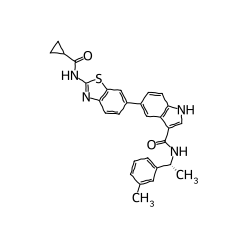 Cc1cccc([C@@H](C)NC(=O)c2c[nH]c3ccc(-c4ccc5nc(NC(=O)C6CC6)sc5c4)cc23)c1